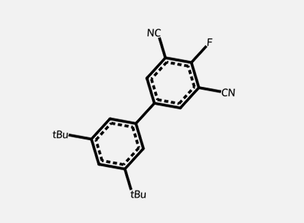 CC(C)(C)c1cc(-c2cc(C#N)c(F)c(C#N)c2)cc(C(C)(C)C)c1